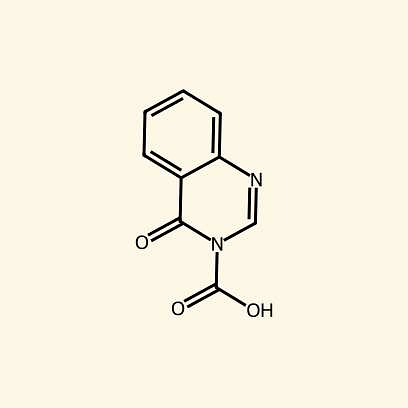 O=C(O)n1cnc2ccccc2c1=O